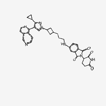 O=C1CCC(N2C(=O)c3ccc(NCCCC4CC(n5cc(-c6nccc7cnccc67)c(C6CC6)n5)C4)cc3C2=O)C(=O)N1